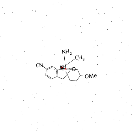 [C-]#[N+]c1ccc2c(c1)[C@]1(N=C(N)N(C)C1=O)C1(CCC(OC)CC1)C2